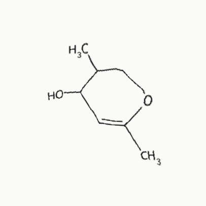 CC1=CC(O)C(C)CO1